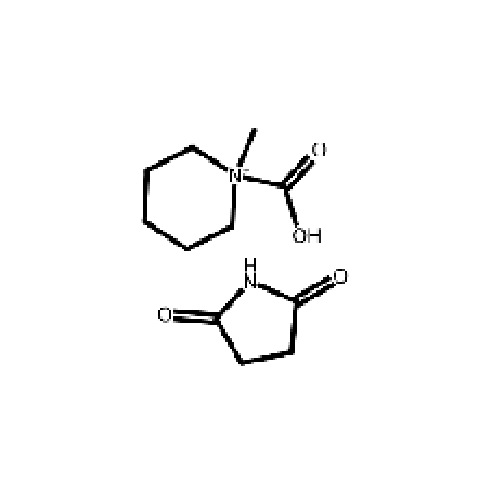 C[N+]1(C(=O)O)CCCCC1.O=C1CCC(=O)N1